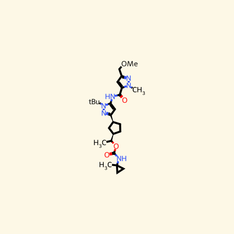 COCc1cc(C(=O)Nc2cc([C@H]3CC[C@@H](C(C)OC(=O)NC4(C)CC4)C3)nn2C(C)(C)C)n(C)n1